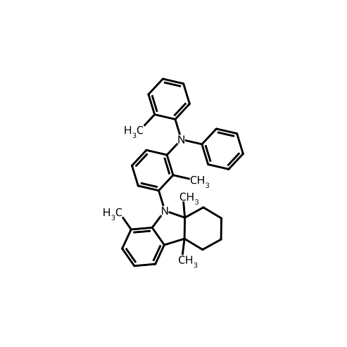 Cc1ccccc1N(c1ccccc1)c1cccc(N2c3c(C)cccc3C3(C)CCCCC23C)c1C